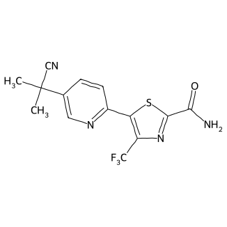 CC(C)(C#N)c1ccc(-c2sc(C(N)=O)nc2C(F)(F)F)nc1